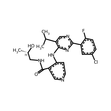 CC(C)c1cnc(-c2cc(Cl)ccc2F)nc1Nc1ccncc1C(=O)NC[C@H](C)O